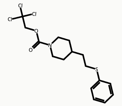 O=C(OCC(Cl)(Cl)Cl)N1CCC(CCSc2ccccc2)CC1